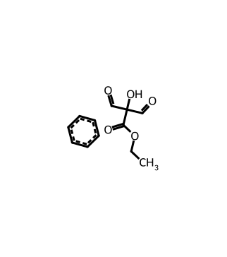 CCOC(=O)C(O)(C=O)C=O.c1ccccc1